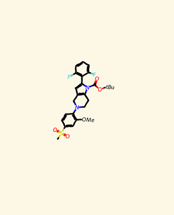 COc1cc(S(C)(=O)=O)ccc1N1CCc2c(cc(-c3c(F)cccc3F)n2C(=O)OC(C)(C)C)C1